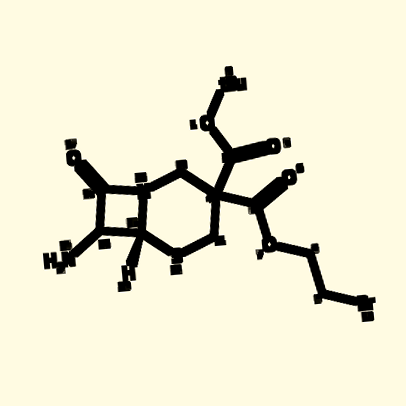 CC(C)(C)OC(=O)C1(C(=O)OCCBr)CS[C@@H]2C(N)C(=O)N2C1